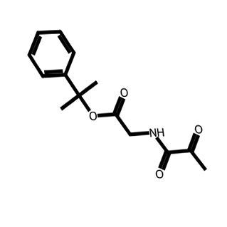 CC(=O)C(=O)NCC(=O)OC(C)(C)c1ccccc1